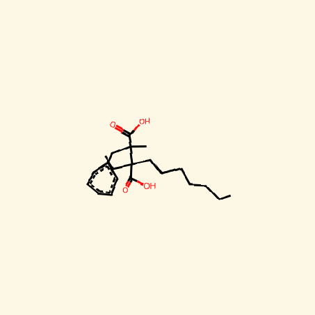 CCCCCCCC(CC)(C(=O)O)C(C)(Cc1ccccc1)C(=O)O